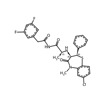 C[C@H](N[C@@H]1C(=O)N(C)c2cc(Cl)ccc2S[C@@H]1c1ccccc1)C(=O)NC(=O)Cc1cc(F)cc(F)c1